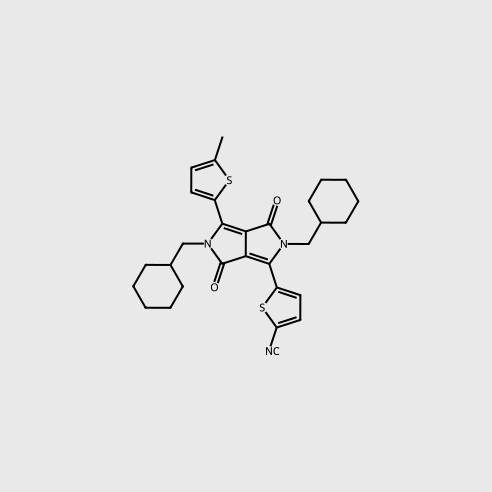 [C-]#[N+]c1ccc(C2=C3C(=O)N(CC4CCCCC4)C(c4ccc(C)s4)=C3C(=O)N2CC2CCCCC2)s1